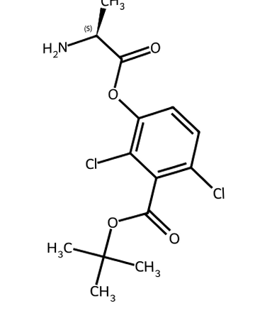 C[C@H](N)C(=O)Oc1ccc(Cl)c(C(=O)OC(C)(C)C)c1Cl